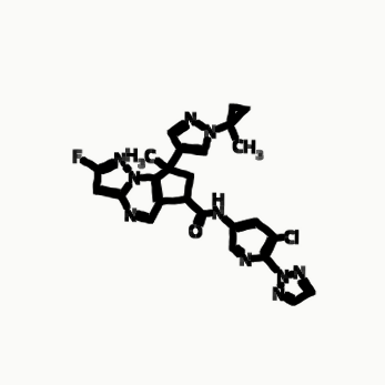 CC1(c2cnn(C3(C)CC3)c2)CC(C(=O)Nc2cnc(-n3nccn3)c(Cl)c2)c2cnc3cc(F)nn3c21